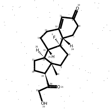 C[C@]12CC[C@]3(F)[C@H]4CCC(=O)C=C4CC[C@H]3[C@@H]1CC[C@@H]2C(=O)CO